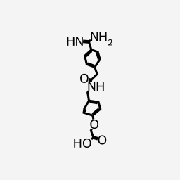 N=C(N)c1ccc(CC(=O)NCc2ccc(OCC(=O)O)cc2)cc1